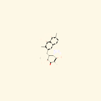 CC(=O)C1=C(O)[C@H](N)C(Cc2cc3ccc(C)c(O)c3c(O)c2C)[C@](O)(C=O)C1=O